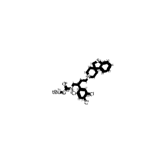 CN(CC(CCN1CCC2(CC1)CSc1ccccc12)c1ccc(Cl)c(Cl)c1)C(=O)OC(C)(C)C